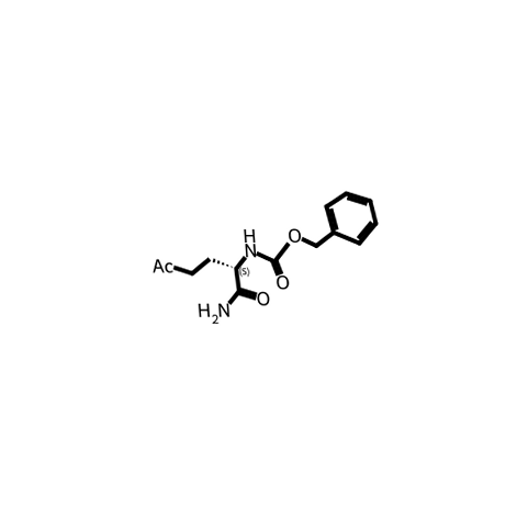 CC(=O)CC[C@H](NC(=O)OCc1ccccc1)C(N)=O